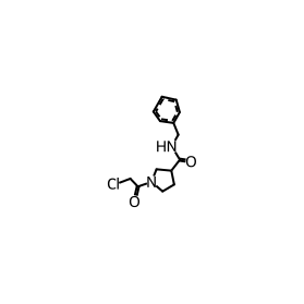 O=C(NCc1ccccc1)C1CCN(C(=O)CCl)C1